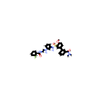 COc1ccc(-c2cccc(C(=O)N(C)C)c2)cc1[S+]([O-])Nc1cccc(NCCNC(=O)c2ccccc2F)c1